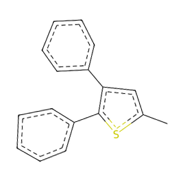 Cc1cc(-c2ccccc2)c(-c2ccccc2)s1